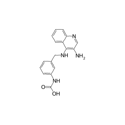 Nc1cnc2ccccc2c1NCc1cccc(NC(=O)O)c1